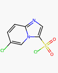 O=S(=O)(Cl)c1cnc2ccc(Cl)cn12